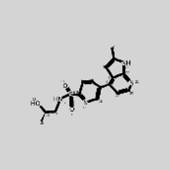 Cc1cc2c(-c3ccc(S(=O)(=O)NC[C@@H](C)O)nc3)ccnc2[nH]1